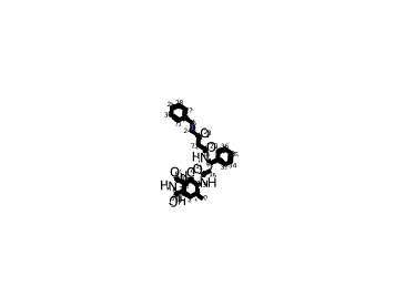 CC1C[C@@H]2C(=O)NC(=O)[C@H]2C(=O)[C@H]1NC(=O)C[C@H](NC(=O)CC(=O)/C=C/c1ccccc1)c1ccccc1